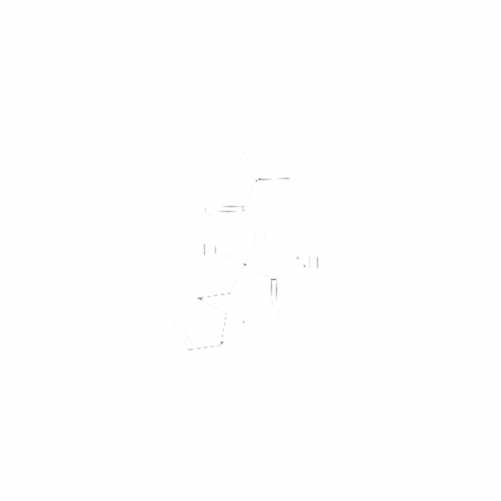 C=C(C)C(=O)OC(CC)(C(N)=O)C1CC2C=CC1C2